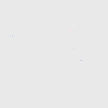 Nc1ccc2c(c1)OCCN2CC[N+]1(CCO)CCCC1